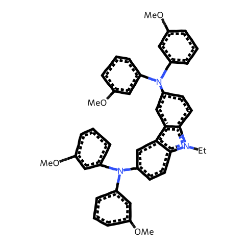 CCn1c2ccc(N(c3cccc(OC)c3)c3cccc(OC)c3)cc2c2cc(N(c3cccc(OC)c3)c3cccc(OC)c3)ccc21